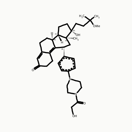 COC(C)(C)CC[C@]1(O)CC[C@H]2[C@@H]3CCC4=CC(=O)CCC4=C3[C@@H](c3ccc(N4CCN(C(=O)CO)CC4)cc3)C[C@@]21C